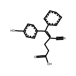 N#CC(CCC(=O)O)=C(c1ccccc1)c1ccc(O)cc1